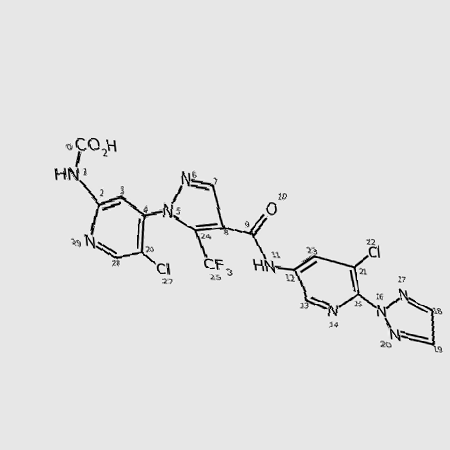 O=C(O)Nc1cc(-n2ncc(C(=O)Nc3cnc(-n4nccn4)c(Cl)c3)c2C(F)(F)F)c(Cl)cn1